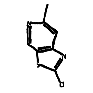 Cc1cc2nc(Cl)sc2cn1